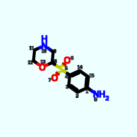 Nc1ccc(S(=O)(=O)C2CNCCO2)cc1